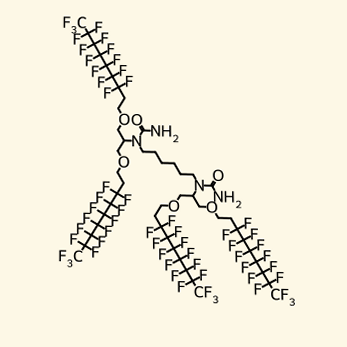 NC(=O)N(CCCCCCN(C(N)=O)C(COCCC(F)(F)C(F)(F)C(F)(F)C(F)(F)C(F)(F)C(F)(F)C(F)(F)F)COCCC(F)(F)C(F)(F)C(F)(F)C(F)(F)C(F)(F)C(F)(F)C(F)(F)F)C(COCCC(F)(F)C(F)(F)C(F)(F)C(F)(F)C(F)(F)C(F)(F)C(F)(F)F)COCCC(F)(F)C(F)(F)C(F)(F)C(F)(F)C(F)(F)C(F)(F)C(F)(F)F